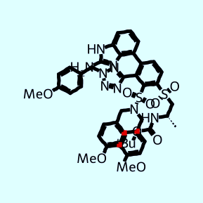 COc1ccc(CN(Cc2ccc(OC)cc2)S(=O)(=O)c2c(S(=O)(=O)C[C@H](C)NC(=O)OC(C)(C)C)ccc(-c3cccc4[nH]c(N)nc34)c2-c2nnn(Cc3ccc(OC)cc3)n2)cc1